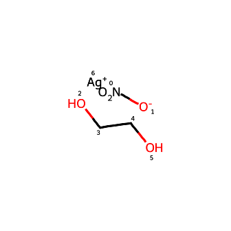 O=[N+]([O-])[O-].OCCO.[Ag+]